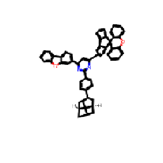 c1ccc2c(c1)Oc1ccccc1C21c2ccccc2-c2cc(-c3cc(-c4ccc5c(c4)oc4ccccc45)nc(-c4ccc(C56C[C@H]7CC8C[C@@H](C5)C87C6)cc4)n3)ccc21